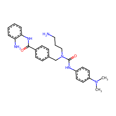 CN(C)c1ccc(NC(=O)N(CCCN)Cc2ccc(C(=O)Nc3ccccc3N)cc2)cc1